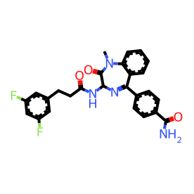 CN1C(=O)C(NC(=O)CCc2cc(F)cc(F)c2)N=C(c2ccc(C(N)=O)cc2)c2ccccc21